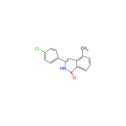 Cc1cccc2c(=O)[nH]c(-c3ccc(Cl)cc3)cc12